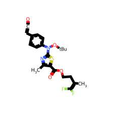 CC(CCOC(=O)c1sc(N(OC(C)(C)C)c2ccc(C=C=O)cc2)nc1C)=C(F)F